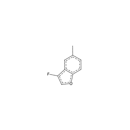 Cc1ccc2occ(F)c2c1